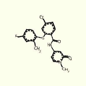 [CH2]n1ccc(NC(=O)c2ccc(Cl)cc2Oc2ccc(F)cc2C)cc1=O